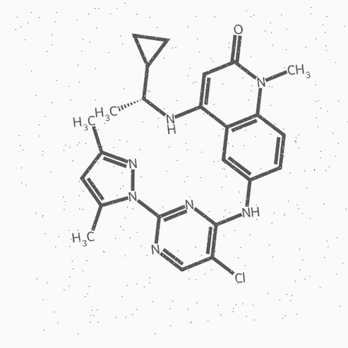 Cc1cc(C)n(-c2ncc(Cl)c(Nc3ccc4c(c3)c(N[C@H](C)C3CC3)cc(=O)n4C)n2)n1